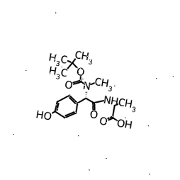 CC(NC(=O)[C@H](c1ccc(O)cc1)N(C)C(=O)OC(C)(C)C)C(=O)O